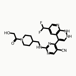 N#Cc1cnc(NCC2CCN(C(=O)CO)CC2)nc1C1=CNNc2ncc(C(F)F)cc21